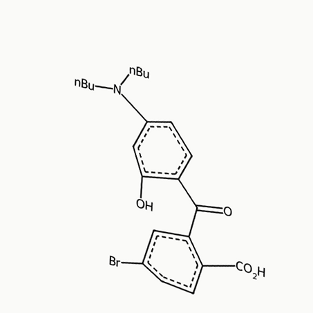 CCCCN(CCCC)c1ccc(C(=O)c2cc(Br)ccc2C(=O)O)c(O)c1